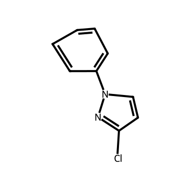 Clc1ccn(-c2ccccc2)n1